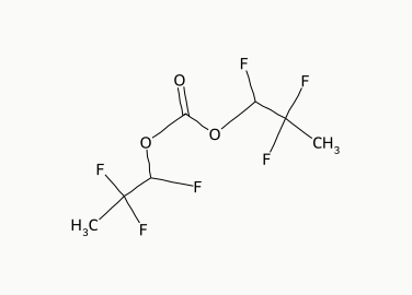 CC(F)(F)C(F)OC(=O)OC(F)C(C)(F)F